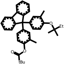 CCC(C)(C)Oc1ccc(C2(c3ccc(OC(=O)C(C)(C)C)c(C)c3)c3ccccc3-c3ccccc32)cc1C